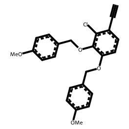 C#Cc1ccc(OCc2ccc(OC)cc2)c(OCc2ccc(OC)cc2)c1Cl